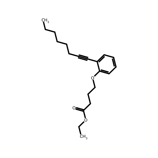 CCCCCCC#Cc1ccccc1OCCCC(=O)OCC